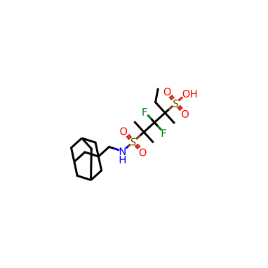 CCC(C)(C(F)(F)C(C)(C)S(=O)(=O)NCC12CC3CC(CC(C3)C1)C2)S(=O)(=O)O